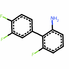 Nc1cccc(F)c1-c1ccc(F)c(F)c1